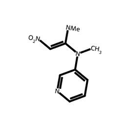 CNC(=C[N+](=O)[O-])N(C)c1cccnc1